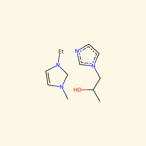 CC(O)Cn1ccnc1.CCN1C=CN(C)C1